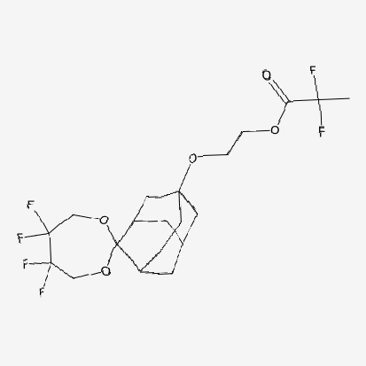 CC(F)(F)C(=O)OCCOC12CC3CC(C1)C1(OCC(F)(F)C(F)(F)CO1)C(C3)C2